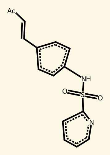 CC(=O)/C=C/c1ccc(NS(=O)(=O)c2ccccn2)cc1